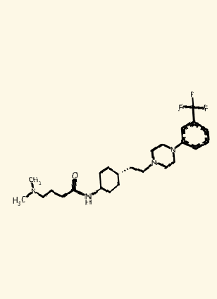 CN(C)CCCC(=O)N[C@H]1CC[C@H](CCN2CCN(c3cccc(C(F)(F)F)c3)CC2)CC1